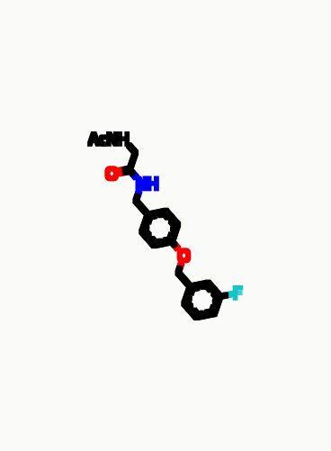 CC(=O)NCC(=O)NCc1ccc(OCc2cccc(F)c2)cc1